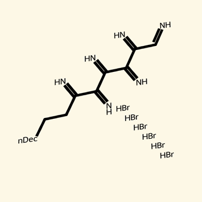 Br.Br.Br.Br.Br.Br.CCCCCCCCCCCCC(=N)C(=N)C(=N)C(=N)C(=N)C=N